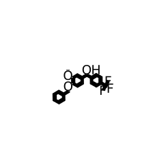 COc1cc(C(O)c2ccc(C(F)(F)F)cc2)ccc1OCc1ccccc1